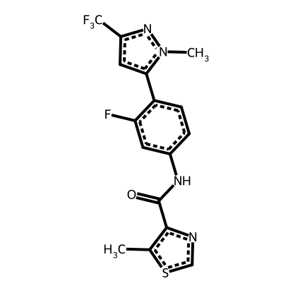 Cc1scnc1C(=O)Nc1ccc(-c2cc(C(F)(F)F)nn2C)c(F)c1